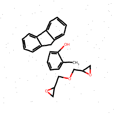 C(OCC1CO1)C1CO1.Cc1ccccc1O.c1ccc2c(c1)Cc1ccccc1-2